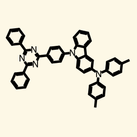 Cc1ccc(N(c2ccc(C)cc2)c2ccc3c(c2)c2ccccc2n3-c2ccc(-c3nc(-c4ccccc4)nc(-c4ccccc4)n3)cc2)cc1